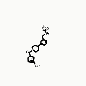 CC(C)(C)OC(=O)NCc1cccc(C2CCN(C(=O)C3CC4CCC3C3C(O)C43)CC2)c1